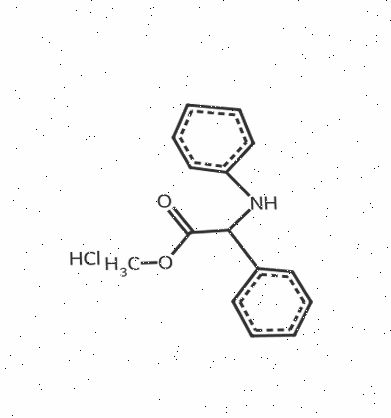 COC(=O)C(Nc1ccccc1)c1ccccc1.Cl